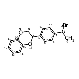 CC(Br)c1ccc(C2COc3ccccc3O2)cc1